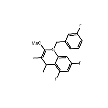 COC1=C(C)C(C)c2c(F)cc(F)cc2N1Cc1cccc(F)c1